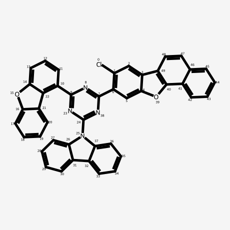 Clc1cc2c(cc1-c1nc(-c3cccc4oc5ccccc5c34)nc(-n3c4ccccc4c4ccccc43)n1)oc1c3ccccc3ccc21